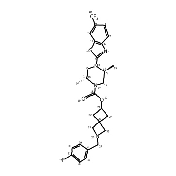 C[C@@H]1CN(c2nc3ccc(C(F)(F)F)cc3s2)[C@@H](C)CN1C(=O)OC1CC2(C1)CN(Cc1ccc(F)cc1)C2